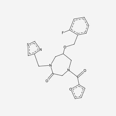 O=C1CN(C(=O)c2ccco2)CC(OCc2ccccc2F)CN1Cc1cscn1